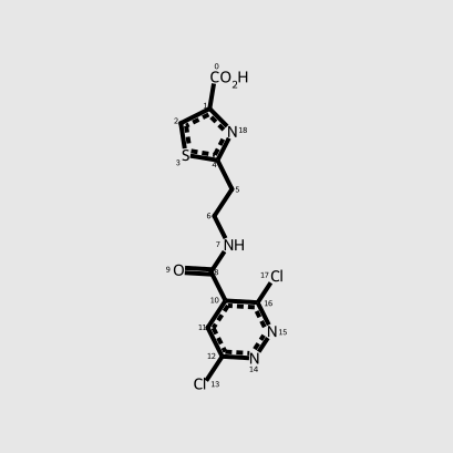 O=C(O)c1csc(CCNC(=O)c2cc(Cl)nnc2Cl)n1